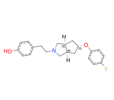 Oc1ccc(CCN2C[C@H]3C[C@H](Oc4ccc(F)cc4)C[C@H]3C2)cc1